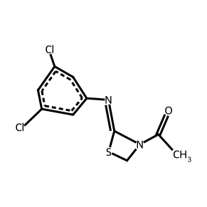 CC(=O)N1CSC1=Nc1cc(Cl)cc(Cl)c1